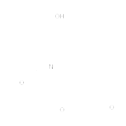 O=CCCC(C=O)N1Cc2c(O)cccc2C1=O